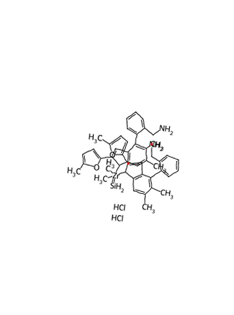 Cc1ccc(C2=Cc3c(cc(C)c(C)c3-c3ccccc3CN)[CH]2[Zr]([CH3])([CH3])(=[SiH2])[CH]2C(c3ccc(C)o3)=Cc3c2cc(C)c(C)c3-c2ccccc2CN)o1.Cl.Cl